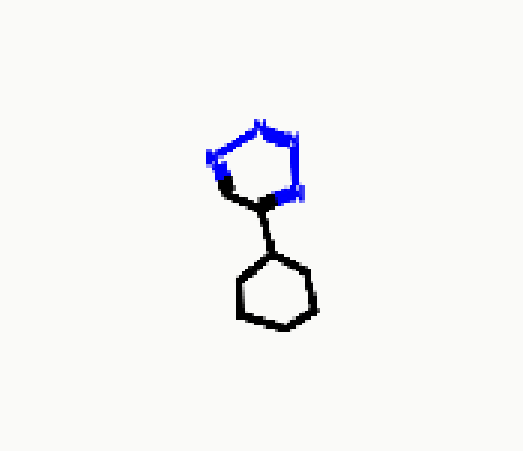 c1nnnnc1C1CCCCC1